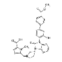 COC(=O)c1ccc(-c2ccc(-n3c(=O)n(C4CCN(Cc5ncc(C(=O)O)n5C)C4)c4ncccc43)c(O)c2)cc1